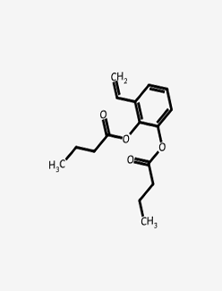 C=Cc1cccc(OC(=O)CCC)c1OC(=O)CCC